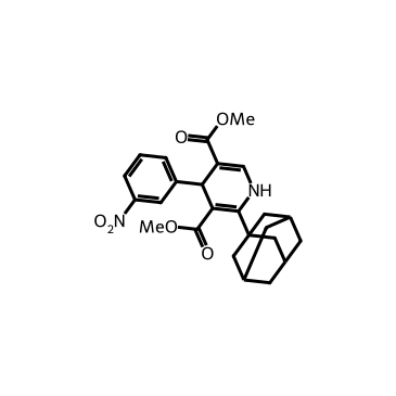 COC(=O)C1=CNC(C23CC4CC(CC(C4)C2)C3)=C(C(=O)OC)C1c1cccc([N+](=O)[O-])c1